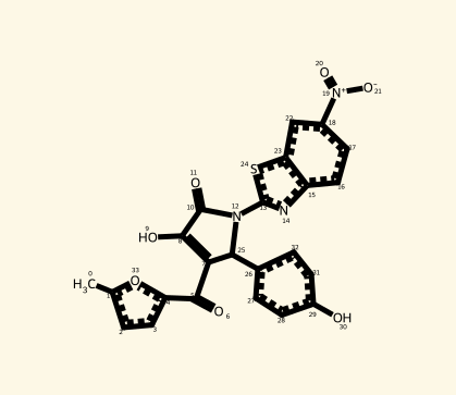 Cc1ccc(C(=O)C2=C(O)C(=O)N(c3nc4ccc([N+](=O)[O-])cc4s3)C2c2ccc(O)cc2)o1